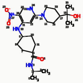 CC(C)NC(=O)C1CCC(Nc2cc(N3CCC(C(C)(C)O)CC3)ncc2[N+](=O)[O-])CC1